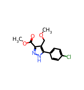 COCc1c(C(=O)OC)n[nH]c1-c1ccc(Cl)cc1